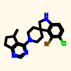 CC1CCc2ncnc(N3CCC4(CC3)CNc3ccc(Cl)c(Br)c34)c21